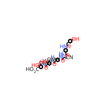 COc1c(NC(=O)c2ccc(NC(=O)c3ccc(NC(=O)C(CC#N)NC(=O)c4ccc(NC(=O)Cc5ccc(O)cc5)cc4)cc3)c(OC)c2O)ccc(C(=O)O)c1O